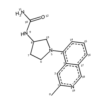 Cc1cc2c(N3CCC(NC(N)=O)C3)cccc2cn1